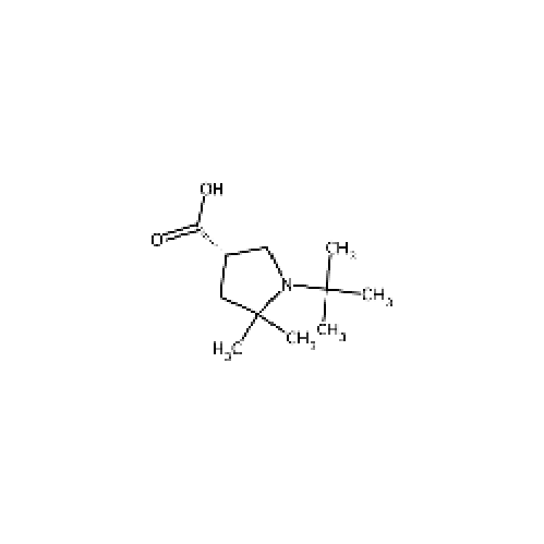 CC(C)(C)N1C[C@@H](C(=O)O)CC1(C)C